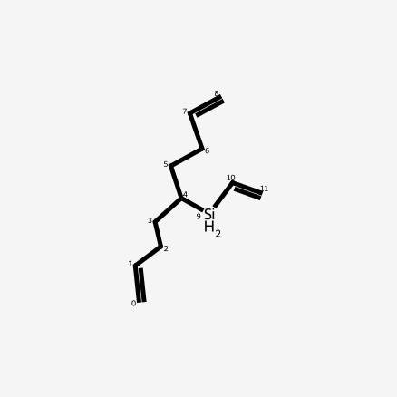 C=CCCC(CCC=C)[SiH2]C=C